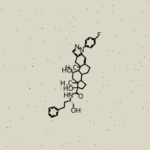 CC12Cc3cnn(-c4ccc(F)cc4)c3C=C1CCC1C2[C@@H](O)CC2(C)C1CC[C@]2(O)C(=O)N[C@H](CO)CCc1ccccc1